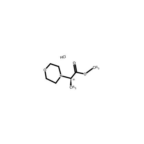 COC(=O)[C@@H](C)N1CCOCC1.Cl